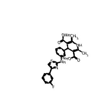 COC(=O)C1=C(C)NC(C)=C(C(=O)OC)C1c1cccc(Nc2nc(-c3cccc(F)c3)cs2)c1